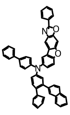 c1ccc(-c2ccc(N(c3ccc(-c4ccccc4)c(-c4ccc5ccccc5c4)c3)c3ccc4oc5cc6oc(-c7ccccc7)nc6cc5c4c3)cc2)cc1